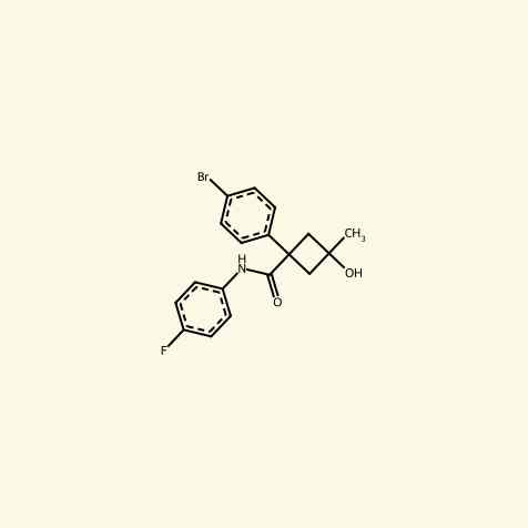 CC1(O)CC(C(=O)Nc2ccc(F)cc2)(c2ccc(Br)cc2)C1